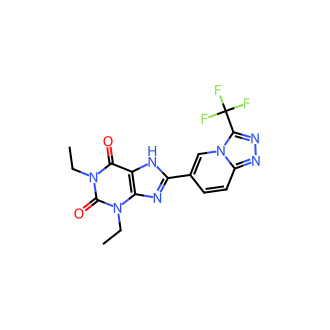 CCn1c(=O)c2[nH]c(-c3ccc4nnc(C(F)(F)F)n4c3)nc2n(CC)c1=O